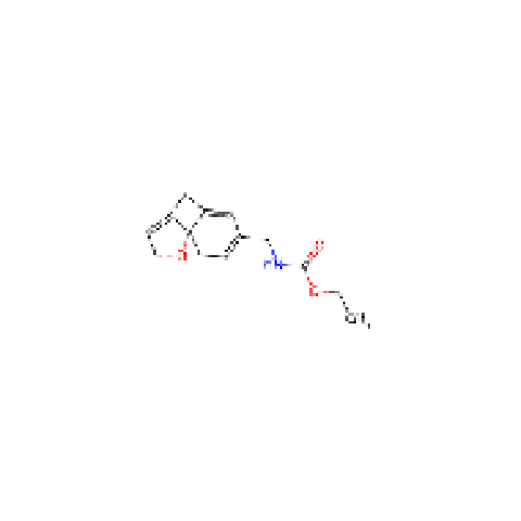 CCOC(=O)NCC1=CCC23OCC=C2CC3=C1